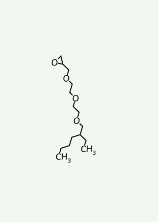 CCCCC(CC)COCCOCCOCC1CO1